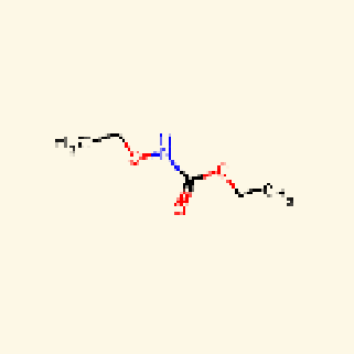 CCONC(=O)OCC